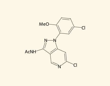 COc1ccc(Cl)cc1-n1nc(NC(C)=O)c2cnc(Cl)cc21